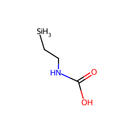 O=C(O)NCC[SiH3]